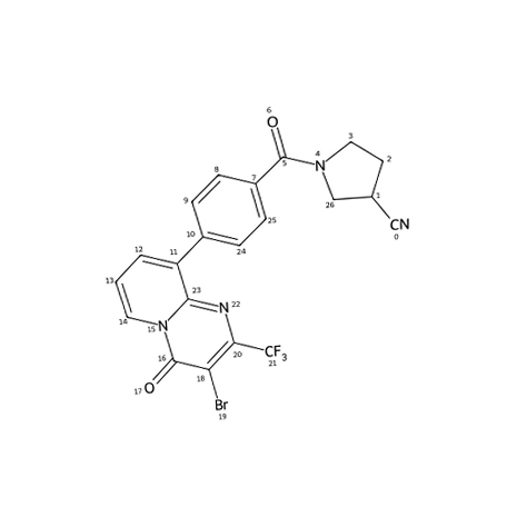 N#CC1CCN(C(=O)c2ccc(-c3cccn4c(=O)c(Br)c(C(F)(F)F)nc34)cc2)C1